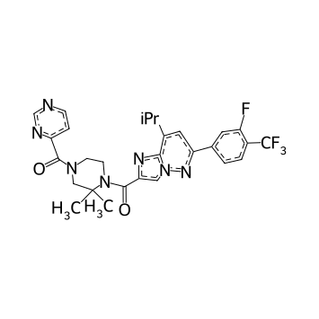 CC(C)c1cc(-c2ccc(C(F)(F)F)c(F)c2)nn2cc(C(=O)N3CCN(C(=O)c4ccncn4)CC3(C)C)nc12